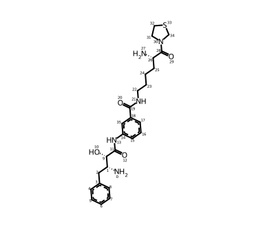 N[C@H](Cc1ccccc1)[C@H](O)C(=O)Nc1cccc(C(=O)NCCCC[C@H](N)C(=O)N2CCSC2)c1